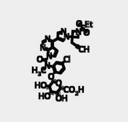 C#CCC1(n2cc(-c3ncnc4c3ccn4C(=O)N(C)c3cc(Cl)ccc3O[C@@H]3O[C@H](C(=O)O)[C@@H](O)[C@H](O)[C@H]3O)cn2)CN(S(=O)(=O)CC)C1